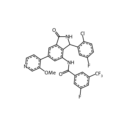 COc1cnccc1-c1cc(NC(=O)c2cc(F)cc(C(F)(F)F)c2)c2c(c1)C(=O)NC2c1cc(F)ccc1Cl